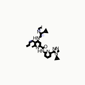 C=C/C=C\c1c(N/C=C(\N=C/I)C2CC2)cc(C(=O)Nc2cccc(-c3nncn3C3CC3)n2)nc1C